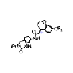 CC(C)N1Cc2ccc(NC(=O)/C=C3\CCCOc4cc(C(F)(F)F)ccc43)cc2NC1=O